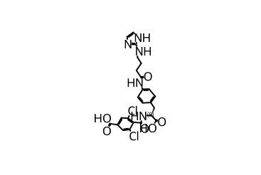 O=C(CCCNc1ncc[nH]1)Nc1ccc(C[C@H](NC(=O)c2c(Cl)cc(C(=O)O)cc2Cl)C(=O)O)cc1